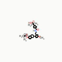 COc1ccc(C2CCc3cc(OC(=O)C(C)(C)C)ccc3C2)c(CCNC(=O)c2ccc(C(C)(C)C(=O)O)cc2)c1